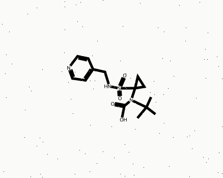 CC(C)(C)N(C(=O)O)C1(S(=O)(=O)NCc2ccncc2)CC1